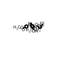 CCOC(=O)C1CCC(n2ncc3cc(NC(=O)c4cccc(C(F)(F)F)n4)c(C(C)(C)O)cc32)CC1